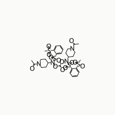 CC(=O)N1CCC(N(OC(=O)ON(C2CCN(C(C)=O)CC2)S(=O)(=O)c2ccccc2S(C)(=O)=O)S(=O)(=O)c2ccccc2S(C)(=O)=O)CC1